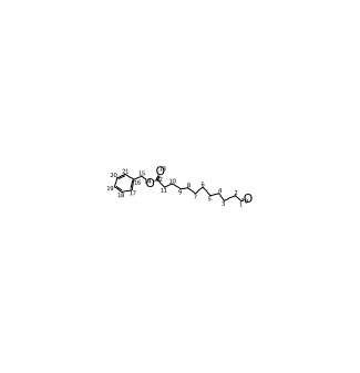 O=CCCCCCCCCCCC(=O)OCc1ccccc1